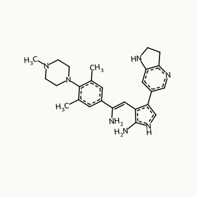 Cc1cc(/C(N)=C/c2c(-c3cnc4c(c3)NCC4)c[nH]c2N)cc(C)c1N1CCN(C)CC1